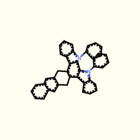 c1ccc(-n2c3ccccc3c3c4c(c5c6ccccc6n(-c6ccccc6)c5c32)Cc2cc3ccccc3cc2C4)cc1